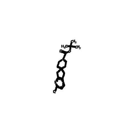 CC(C)(C)OC(=O)N1CCC2(CC1)Cc1ccc(Cl)nc1C2